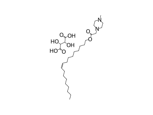 CCCCCCCC/C=C\CCCCCCCCOC(=O)CN1CCN(C)CC1.O=C(O)C(O)C(O)C(=O)O